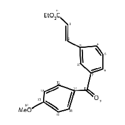 CCOC(=O)C=Cc1cccc(C(=O)c2ccc(OC)cc2)c1